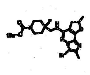 Cc1nc2c3c(c(NCC4(F)CCN(C(=O)OC(C)(C)C)CC4)nn2c1Br)CC(C)O3